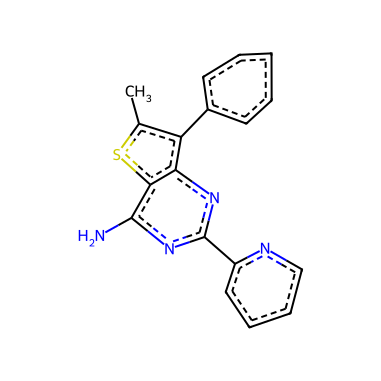 Cc1sc2c(N)nc(-c3ccccn3)nc2c1-c1ccccc1